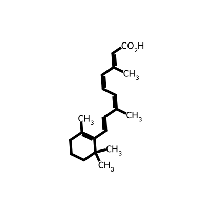 CC1=C(/C=C/C(C)=C\C=C/C(C)=C/C(=O)O)C(C)(C)CCC1